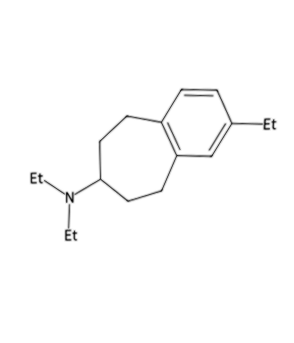 CCc1ccc2c(c1)CCC(N(CC)CC)CC2